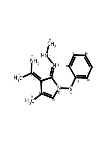 CNN=C1/C(=C(/C)N)C(C)=CN1Sc1ccccc1